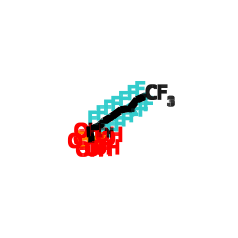 O=P(O)(O)C(O)(CC(F)(F)C(F)(F)C(F)(F)C(F)(F)C(F)(F)C(F)(F)C(F)(F)C(F)(F)F)P(=O)(O)O